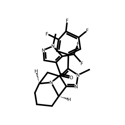 Cn1nc2c(c1-c1cc(F)c(F)c(F)c1)C[C@@H]1CCC[C@H]2N1C(=O)c1cnn(C)c1C(F)F